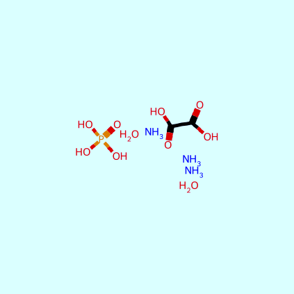 N.N.N.O.O.O=C(O)C(=O)O.O=P(O)(O)O